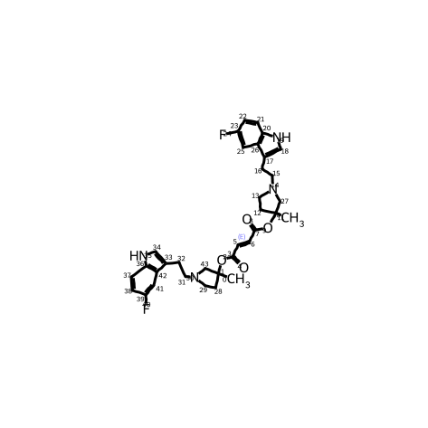 CC1(OC(=O)/C=C/C(=O)OC2(C)CCN(CCc3c[nH]c4ccc(F)cc34)C2)CCN(CCc2c[nH]c3ccc(F)cc23)C1